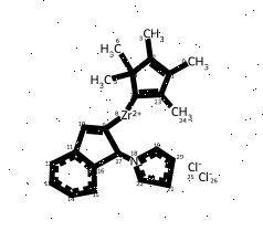 CC1=C(C)C(C)(C)[C]([Zr+2][C]2=Cc3ccccc3C2n2cccc2)=C1C.[Cl-].[Cl-]